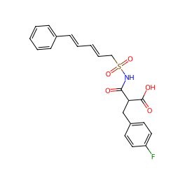 O=C(O)C(Cc1ccc(F)cc1)C(=O)NS(=O)(=O)C/C=C/C=Cc1ccccc1